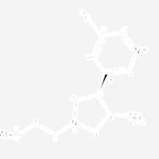 COCCN1C[C@@H](N)[C@H](c2cncc(F)c2)C1